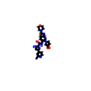 Cc1cc(-c2c[nH]c(C(=O)Nc3cc4sc(N5CCOCC5)nc4nc3N3CCC(O)C3)n2)ccn1